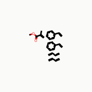 C=C(C)C(=O)OC.C=CC=C.C=CC=C.C=Cc1ccccc1.C=Cc1ccccc1